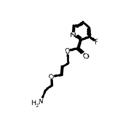 NCCOCCCOC(=O)c1ncccc1F